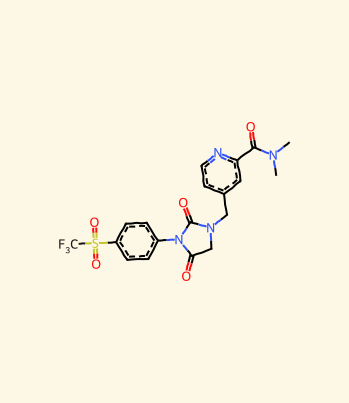 CN(C)C(=O)c1cc(CN2CC(=O)N(c3ccc(S(=O)(=O)C(F)(F)F)cc3)C2=O)ccn1